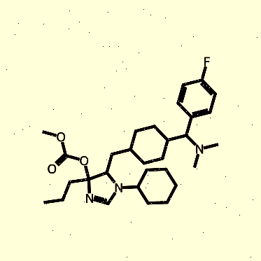 CCCC1(OC(=O)OC)N=CN(C2CCCCC2)C1CC1CCC(C(c2ccc(F)cc2)N(C)C)CC1